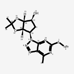 CCCSc1nc(C)c2nnn([C@@H]3C[C@H](O)[C@H]4OC(C)(C)O[C@H]43)c2n1